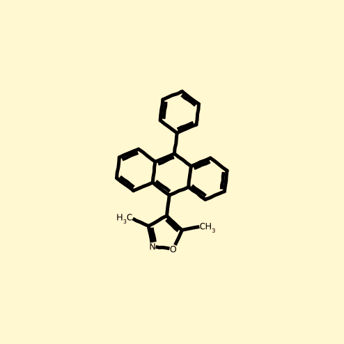 Cc1noc(C)c1-c1c2ccccc2c(-c2ccccc2)c2ccccc12